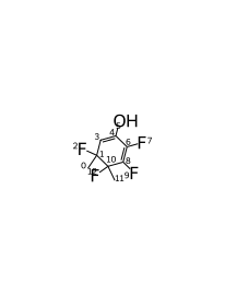 CC1(F)C=C(O)C(F)=C(F)C1(C)F